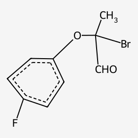 CC(Br)(C=O)Oc1ccc(F)cc1